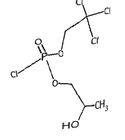 CC(O)COP(=O)(Cl)OCC(Cl)(Cl)Cl